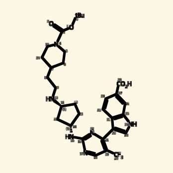 CC(C)(C)OC(=O)N1CCC(CCN[C@H]2CC[C@H](Nc3ncc(C(F)(F)F)c(-c4c[nH]c5cc(C(=O)O)ccc45)n3)C2)CC1